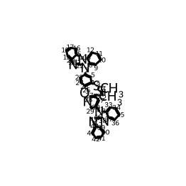 C[Si]1(C)Sc2cc(-n3c4ccccc4n4c5ccccc5nc34)ccc2Oc2ncc(-n3c4ccccc4n4c5ccccc5nc34)cc21